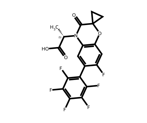 C[C@@H](C(=O)O)N1C(=O)C2(CC2)Oc2cc(F)c(-c3c(F)c(F)c(F)c(F)c3F)cc21